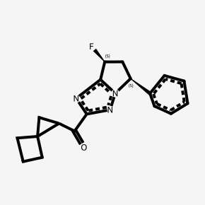 O=C(c1nc2n(n1)[C@H](c1ccccc1)C[C@@H]2F)C1CC12CCC2